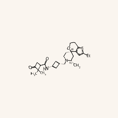 CCc1cc2c(s1)CCO[C@@]21CCN(C[C@H]2C[C@@H](NC(=O)C3CC(=O)C3(C)C)C2)[C@@H](C)C1